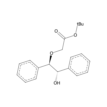 CC(C)(C)OC(=O)CO[C@H](c1ccccc1)[C@@H](O)c1ccccc1